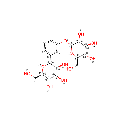 OC[C@H]1O[C@H](Oc2cccc([C@H]3O[C@H](CO)[C@@H](O)[C@H](O)[C@@H]3O)c2)[C@@H](O)[C@@H](O)[C@@H]1O